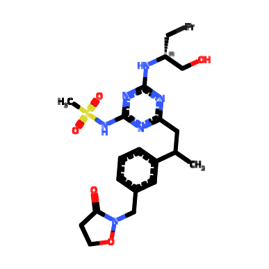 CC(C)C[C@H](CO)Nc1nc(CC(C)c2cccc(CN3OCCC3=O)c2)nc(NS(C)(=O)=O)n1